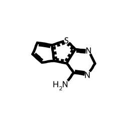 NC1=NCN=c2sc3c(c21)C=CC=3